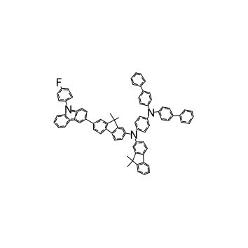 CC1(C)c2ccccc2-c2ccc(N(c3ccc(N(c4ccc(-c5ccccc5)cc4)c4ccc(-c5ccccc5)cc4)cc3)c3ccc4c(c3)C(C)(C)c3cc(-c5ccc6c(c5)c5ccccc5n6-c5ccc(F)cc5)ccc3-4)cc21